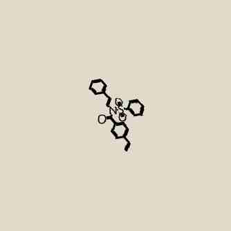 C=Cc1ccc(C(=O)N(C=Cc2ccccc2)S(=O)(=O)c2ccccc2)cc1